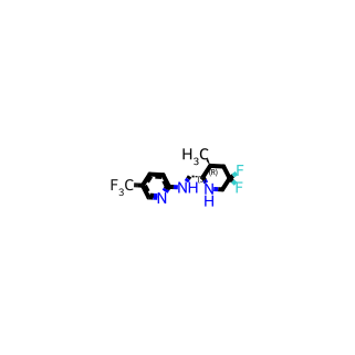 C[C@@H]1CC(F)(F)CN[C@@H]1CNc1ccc(C(F)(F)F)cn1